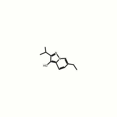 CCc1ccc2c(O)c(C(C)C)nn2c1